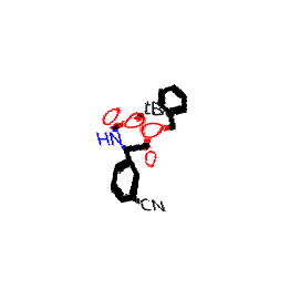 CC(C)(C)OC(=O)NC(C(=O)OCc1ccccc1)c1cccc(C#N)c1